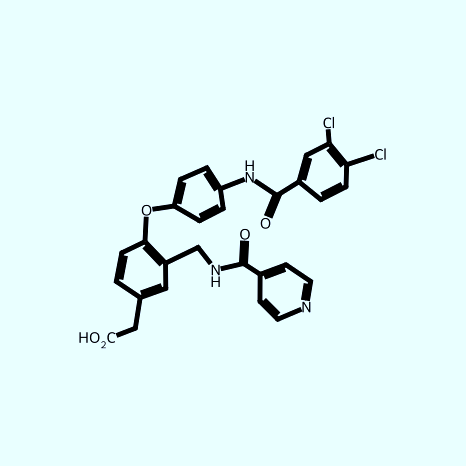 O=C(O)Cc1ccc(Oc2ccc(NC(=O)c3ccc(Cl)c(Cl)c3)cc2)c(CNC(=O)c2ccncc2)c1